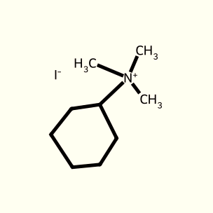 C[N+](C)(C)C1CCCCC1.[I-]